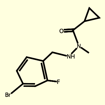 CN(NCc1ccc(Br)cc1F)C(=O)C1CC1